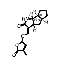 CC1=CC(OC=C2C(=O)N[C@@H]3[C@H]4CCC[C@H]4C[C@H]23)OC1=O